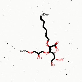 CCCCCCCCCCCCCCCCOC1=C(OCC(O)COCCCCCCCC)[C@@H]([C@@H](O)CO)OC1=O